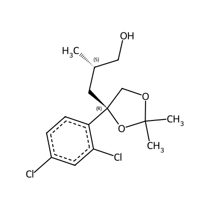 C[C@H](CO)C[C@@]1(c2ccc(Cl)cc2Cl)COC(C)(C)O1